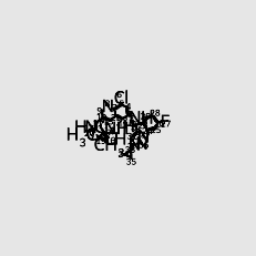 [2H]C(Nc1cc(Cl)c2ncc(C#N)c(NC(C)(C)C(C)C)c2c1)(c1ccc(F)cc1)c1cn(C2CC2)nn1